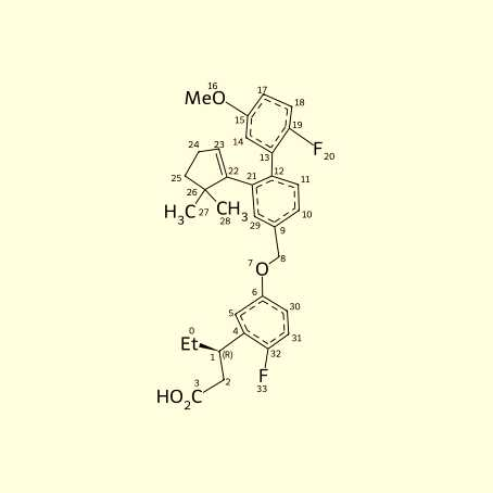 CC[C@H](CC(=O)O)c1cc(OCc2ccc(-c3cc(OC)ccc3F)c(C3=CCCC3(C)C)c2)ccc1F